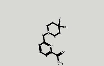 NC(=O)c1cccc(CN2CCC(F)(F)CC2)n1